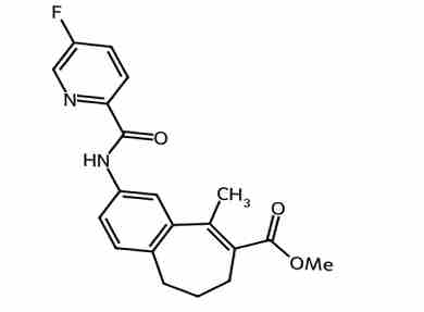 COC(=O)C1=C(C)c2cc(NC(=O)c3ccc(F)cn3)ccc2CCC1